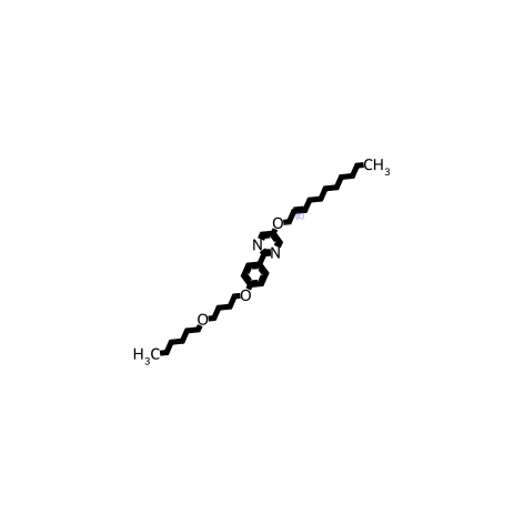 CCCCCCCC/C=C/COc1cnc(-c2ccc(OCCCCOCCCCCC)cc2)nc1